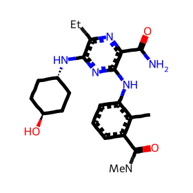 CCc1nc(C(N)=O)c(Nc2cccc(C(=O)NC)c2C)nc1N[C@H]1CC[C@H](O)CC1